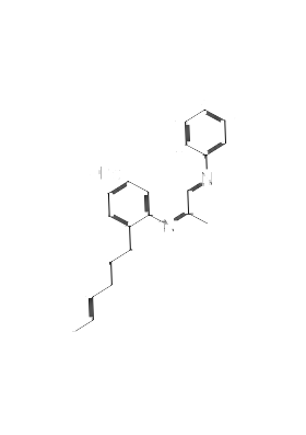 CC=CCCCc1ccccc1N=C(C)C=Nc1ccccc1.[Pd]